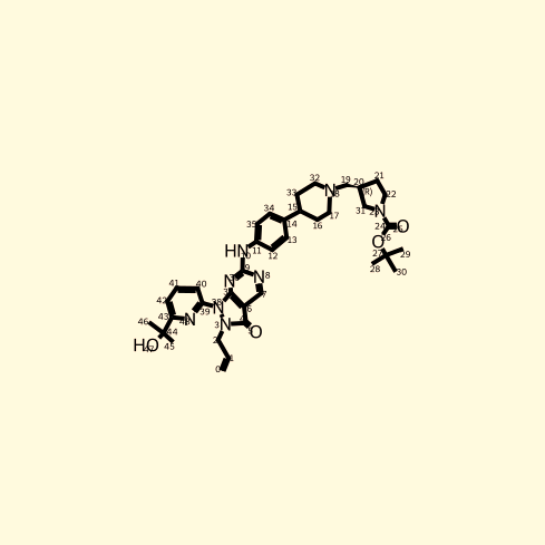 C=CCn1c(=O)c2cnc(Nc3ccc(C4CCN(C[C@H]5CCN(C(=O)OC(C)(C)C)C5)CC4)cc3)nc2n1-c1cccc(C(C)(C)O)n1